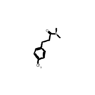 CN(C)C(=O)CCc1ccc(C(F)(F)F)cc1